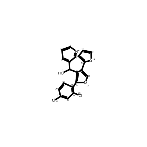 OC(c1cccnc1)c1c(-c2cccs2)coc1-c1ccc(Cl)cc1Cl